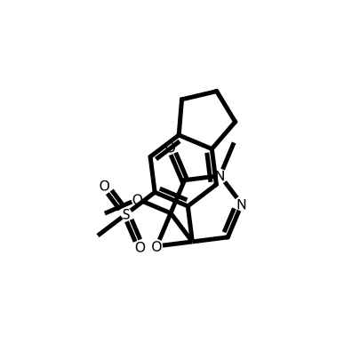 COC12OC1(c1cc3c(cc1S(C)(=O)=O)CCC3)C=NN(C)C2=O